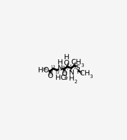 CCSC(C)[C@H](N)C(O)C(=O)NCCC(=O)O.Cl